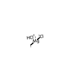 Cl.[CH3][Mg][Cl]